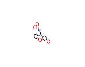 COC(=O)/C=C/C=C(/c1ccc(OC)cc1)c1ccccc1OC